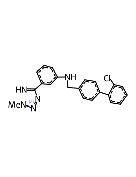 CN/N=N\C(=N)c1cccc(NCc2ccc(-c3ccccc3Cl)cc2)c1